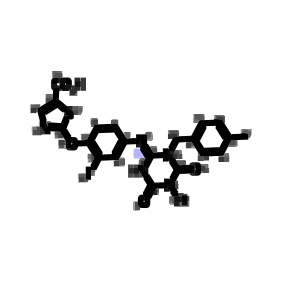 CCn1c(=O)[nH]/c(=N\c2ccc(Oc3ncc(C(=O)O)s3)c(F)c2)n(Cc2ccc(C)cc2)c1=O